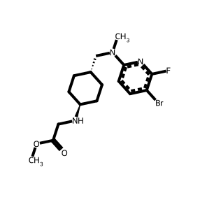 COC(=O)CN[C@H]1CC[C@H](CN(C)c2ccc(Br)c(F)n2)CC1